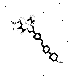 C=C(C)C(=O)OCC(COC(=O)C(=C)CN(C)C)c1ccc(CCC2CCC(C3CCC(CCCCC)CC3)CC2)cc1